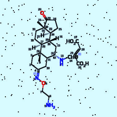 C[C@]12CC/C(=N/OCCN)CC1[C@@H](NC=O)C[C@@H]1[C@@H]2CC[C@]2(C)C(=O)CC[C@@H]12.O=C(O)/C=C/C(=O)O